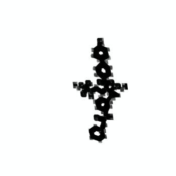 O=C(CN1CCCCC1)Nc1cccc([C@@H]2C[C@@]2(C(=O)O)N(CCNS(=O)(=O)C(F)(F)F)S(=O)(=O)c2ccc(-c3ccc(Cl)cc3)cc2)c1